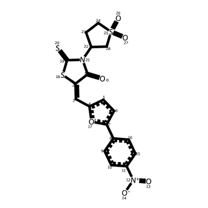 O=C1/C(=C\c2ccc(-c3ccc([N+](=O)[O-])cc3)o2)SC(=S)N1C1CCS(=O)(=O)C1